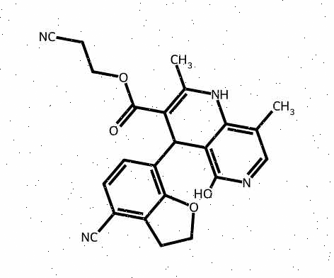 CC1=C(C(=O)OCCC#N)C(c2ccc(C#N)c3c2OCC3)c2c(O)ncc(C)c2N1